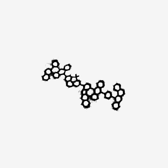 CC1(C)c2cc(-c3c4ccccc4c(-c4cccc5oc6cc7ccccc7cc6c45)c4ccccc34)cc3ccc4cc(-c5ccc(-c6c7ccccc7c(-c7ccc(-c8c9ccccc9cc9ccc%10ccccc%10c89)cc7)c7ccccc67)c6c5oc5cc7ccccc7cc56)cc1c4c23